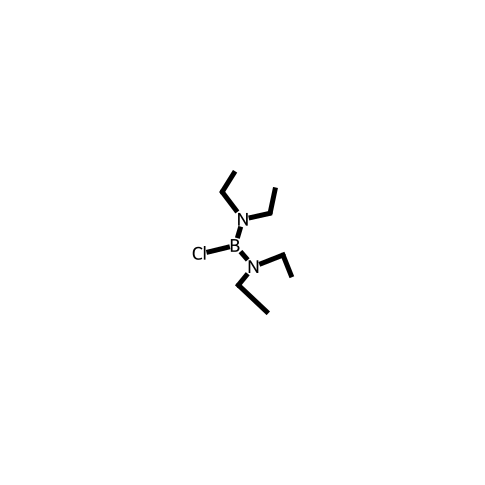 CCN(CC)B(Cl)N(CC)CC